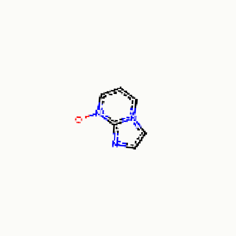 [O-][n+]1cccn2c[c]nc21